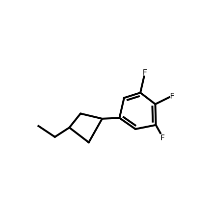 CCC1CC(c2cc(F)c(F)c(F)c2)C1